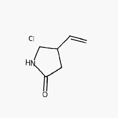 C=CC1CNC(=O)C1.[C]